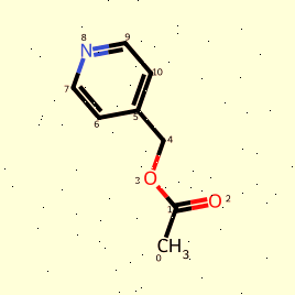 CC(=O)OCc1ccncc1